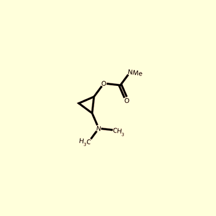 CNC(=O)OC1CC1N(C)C